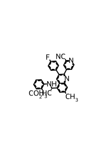 Cc1cc([C@@H](C)Nc2ccccc2C(=O)O)c2cc(-c3ccc(F)cc3)c(-c3ccnc(C#N)c3)nc2c1